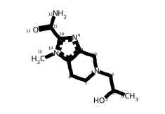 CC(O)CN1CCc2c(nc(C(N)=O)n2C)C1